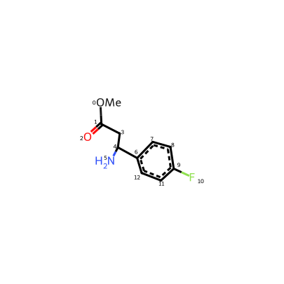 COC(=O)CC(N)c1ccc(F)cc1